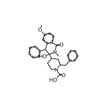 COc1ccc2c(c1)C(c1ccccc1)C(O)(C1CCN(C(=O)O)C(Cc3ccccc3)C1)N(C)C2=O